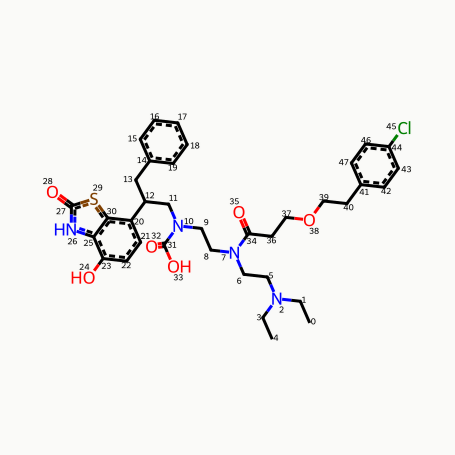 CCN(CC)CCN(CCN(CC(Cc1ccccc1)c1ccc(O)c2[nH]c(=O)sc12)C(=O)O)C(=O)CCOCCc1ccc(Cl)cc1